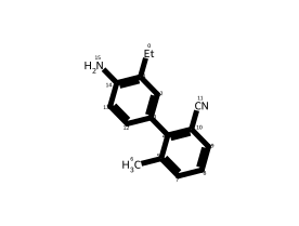 CCc1cc(-c2c(C)cccc2C#N)ccc1N